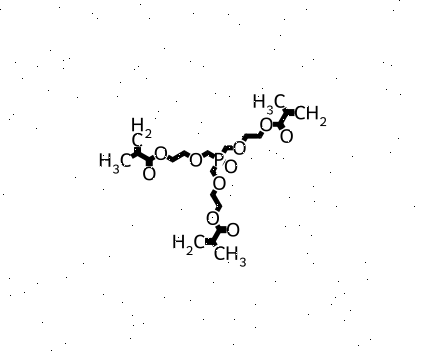 C=C(C)C(=O)OCCOCP(=O)(COCCOC(=O)C(=C)C)COCCOC(=O)C(=C)C